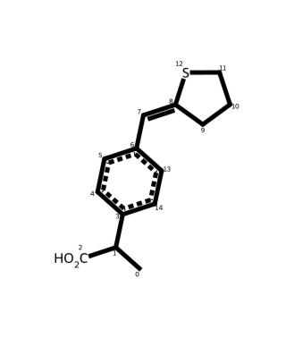 CC(C(=O)O)c1ccc(/C=C2\CCCS2)cc1